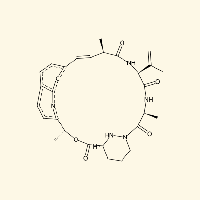 C=C(C)[C@@H]1NC(=O)[C@H](C)/C=C/c2ccc3ccc(nc3c2)[C@@H](C)OC(=O)[C@@H]2CCCN(N2)C(=O)[C@H](C)NC1=O